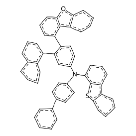 c1ccc(-c2ccc(N(c3ccc(-c4cccc5oc6ccccc6c45)c(-c4cccc5ccccc45)c3)c3cccc4c3sc3ccccc34)cc2)cc1